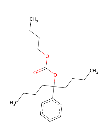 CCCCOC(=O)OC(CCCC)(CCCC)c1ccccc1